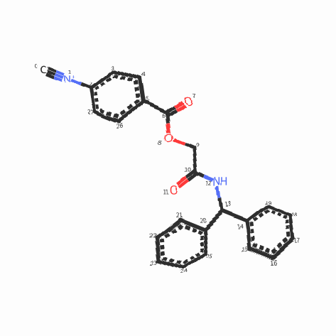 [C-]#[N+]c1ccc(C(=O)OCC(=O)NC(c2ccccc2)c2ccccc2)cc1